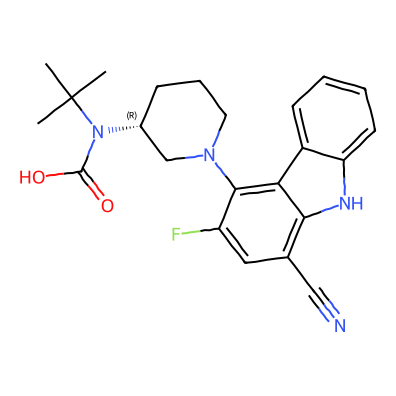 CC(C)(C)N(C(=O)O)[C@@H]1CCCN(c2c(F)cc(C#N)c3[nH]c4ccccc4c23)C1